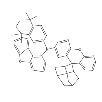 CC1(C)CCC(C)(C)c2cc(N(c3ccc4c(c3)C3(c5ccccc5O4)C4CC5CC6CC3C64C5)c3cccc4oc5ccccc5c34)ccc21